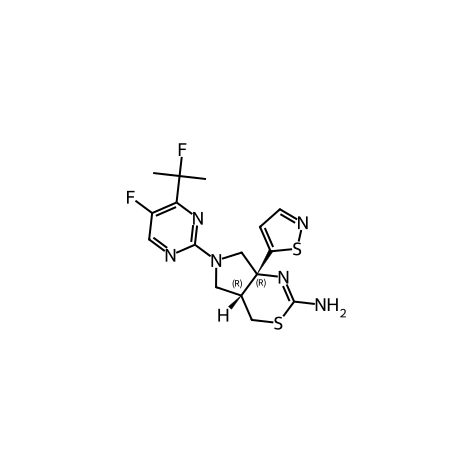 CC(C)(F)c1nc(N2C[C@H]3CSC(N)=N[C@@]3(c3ccns3)C2)ncc1F